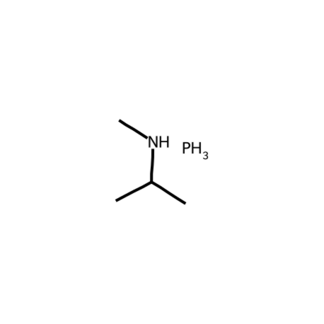 CNC(C)C.P